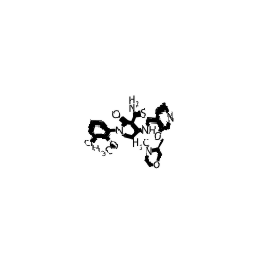 COc1c(Cl)cccc1N1CCC(NCc2ccncc2OC[C@H]2COCCN2C)=C(C(N)=S)C1=O